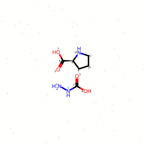 NNC(=O)O.O=C(O)[C@@H]1CCCN1